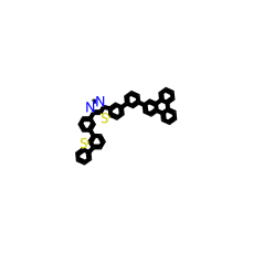 c1cc(-c2ccc3c4ccccc4c4ccccc4c3c2)cc(-c2ccc3sc4c(-c5cccc(-c6cccc7c6sc6ccccc67)c5)ncnc4c3c2)c1